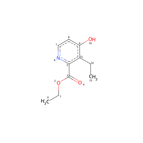 CCOC(=O)c1nccc(O)c1CC